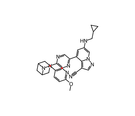 COc1ccc(CN2C3CC2CN(c2cnc(-c4cc(NCC5CC5)cn5ncc(C#N)c45)cn2)C3)cn1